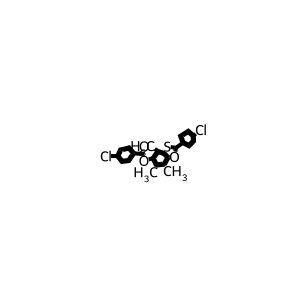 Cc1c(C)c2c(c(C)c1OC(=O)c1ccc(Cl)cc1)SC(c1ccc(Cl)cc1)O2